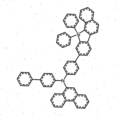 c1ccc(-c2ccc(N(c3ccc(-c4ccc5c(c4)[Si](c4ccccc4)(c4ccccc4)c4c-5ccc5ccccc45)cc3)c3cc4ccccc4c4ccccc34)cc2)cc1